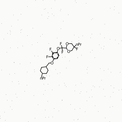 CCCC1CCC(COc2ccc(OC(F)(F)C3OCC(F)(CCC)CO3)c(F)c2F)CC1